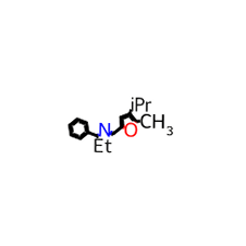 CC[C@H](/N=C/c1cc(C(C)C)c(C)o1)c1ccccc1